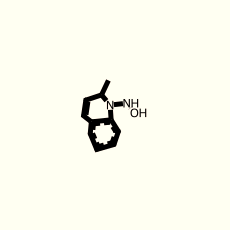 CC1C=Cc2ccccc2N1NO